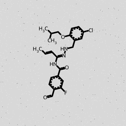 C/C=C/C(=N\NCc1cc(Cl)ccc1OCC(C)C)NC(=O)c1ccc(C=O)c(F)c1